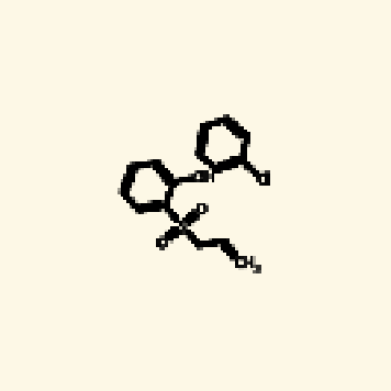 C=CCS(=O)(=O)c1ccccc1O.Clc1ccccc1